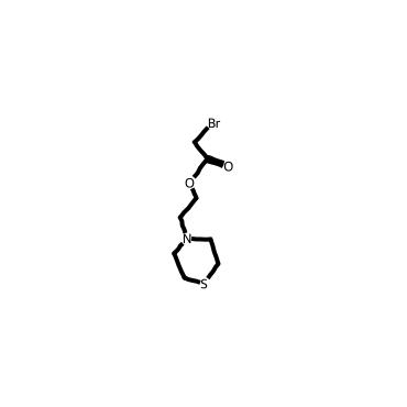 O=C(CBr)OCCN1CCSCC1